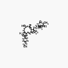 CCC(O)C(C)C1OC1CC(C)(O)/C=C/C=C(\C)C1OC(=O)CC(O)CCC(C)C(OC(=O)N2CCN(CCC#N)CC2)/C=C/C1C